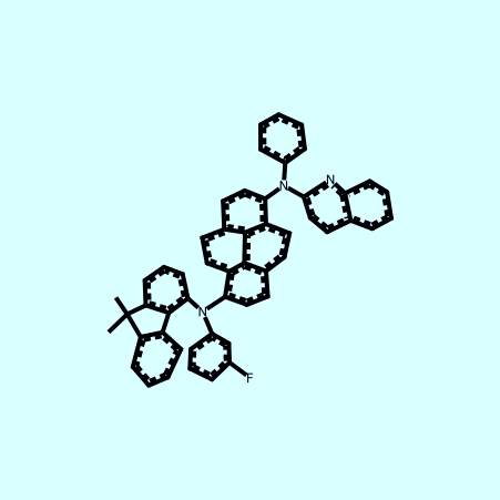 CC1(C)c2ccccc2-c2c(N(c3cccc(F)c3)c3ccc4ccc5c(N(c6ccccc6)c6ccc7ccccc7n6)ccc6ccc3c4c65)cccc21